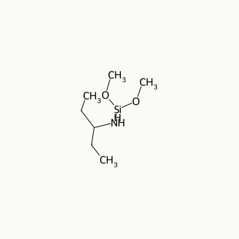 CCC(CC)N[SiH](OC)OC